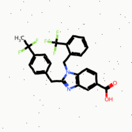 CC(F)(F)c1ccc(Cc2nc3cc(C(=O)O)ccc3n2Cc2ccccc2C(F)(F)F)cc1